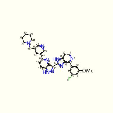 COc1cc(F)cc(-c2nccc3[nH]c(-c4n[nH]c5ccc(-c6cncc(CN7CCCCC7)c6)nc45)nc23)c1